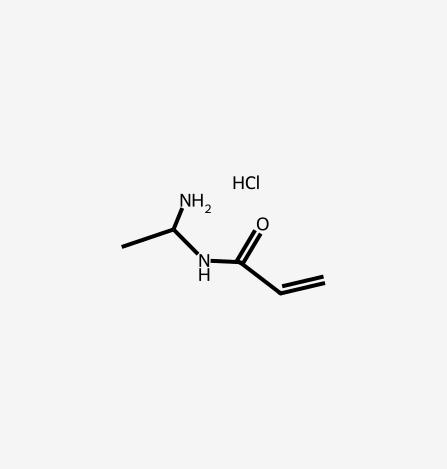 C=CC(=O)NC(C)N.Cl